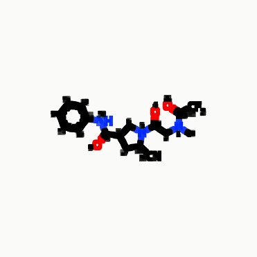 CN(CC(=O)N1CC(C(=O)Nc2ccccc2)CC1C#N)C(=O)C(F)(F)F